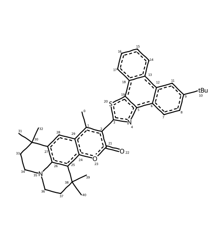 Cc1c(-c2nc3c4ccc(C(C)(C)C)cc4c4ccccc4c3s2)c(=O)oc2c3c4c(cc12)C(C)(C)CCN4CCC3(C)C